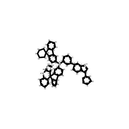 c1ccc(-c2csc3cc(-c4cccc(N(c5ccc6c(c5)-c5ccccc5C65CCCCC5)c5ccc6c(c5)C5(c7ccccc7Sc7ccccc75)c5ccccc5-6)c4)ccc23)cc1